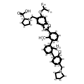 Cc1c(-c2nc3cc(CN4CCC[C@H]4C(=O)O)c(OC(F)F)cc3o2)cccc1-c1cccc(-c2ccc(CN3CCCC3)cc2Cl)c1C